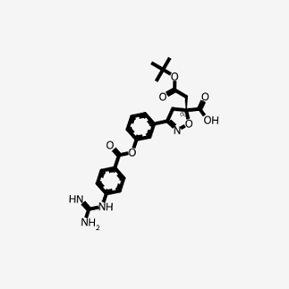 CC(C)(C)OC(=O)C[C@]1(C(=O)O)CC(c2cccc(OC(=O)c3ccc(NC(=N)N)cc3)c2)=NO1